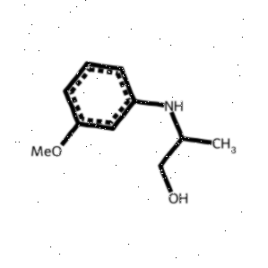 COc1cccc(NC(C)CO)c1